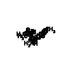 CN1CCN(C(=O)O[C@H]2CC[C@H](Nc3cc(-n4c5c(c6c4CC(C)(C)CC6=O)CCC5)cc(F)c3C(N)=O)CC2)CC1